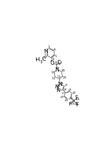 Cc1ncccc1OC(=O)N1CCC(n2cc(-c3ccc(C(F)(F)F)cc3)nn2)CC1